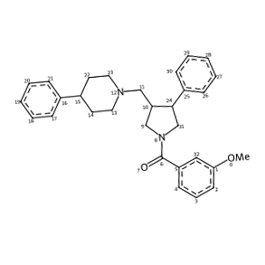 COc1cccc(C(=O)N2CC(CN3CCC(c4ccccc4)CC3)C(c3ccccc3)C2)c1